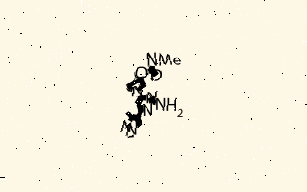 CNC(=O)O[C@@H]1CCN(c2cc(-c3cn(C)nc3C)nc(N)n2)C1